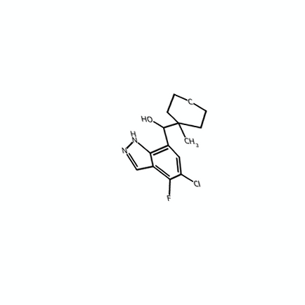 CC1(C(O)c2cc(Cl)c(F)c3cn[nH]c23)CCCCC1